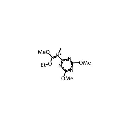 CCOC(OC)=[N+](C)c1nc(OC)nc(OC)n1